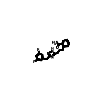 NC(=O)c1ccccc1CC[CH]c1nc(Cc2cc(F)cc(F)c2)n[nH]1